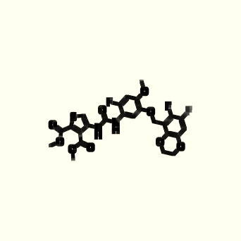 COC(=O)c1scc(NC(=O)Nc2cc(OCc3c(F)c(F)cc4c3OCCO4)c(OC)cc2F)c1C(=O)OC